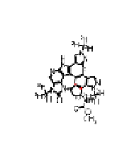 [2H]C([2H])([2H])n1cc(-c2[nH]c3ncc4c(c3c2-c2ccc3c(cnn3C([2H])([2H])[2H])c2)n([C@@H]2CC[C@@H](NC(=O)OC)C2)c(=O)n4C([2H])([2H])[2H])c(F)n1